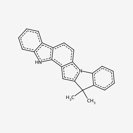 CC1(C)c2ccccc2-n2c1cc1c3[nH]c4ccccc4c3ccc12